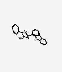 CC(C)C1CC(c2cccc3c2SC2C=CC=CC32)=NC1C1=CCCC=C1